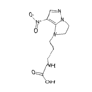 O=C(O)NCCCN1CCn2ncc([N+](=O)[O-])c21